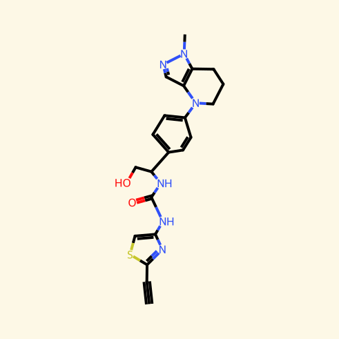 C#Cc1nc(NC(=O)NC(CO)c2ccc(N3CCCc4c3cnn4C)cc2)cs1